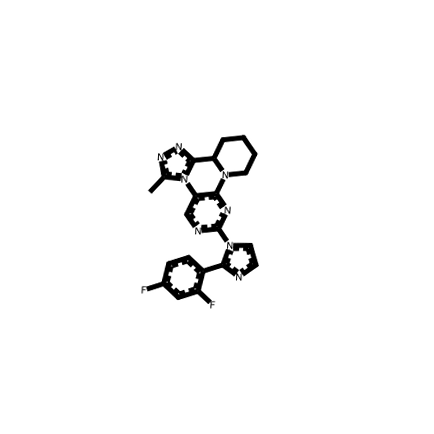 Cc1nnc2n1-c1cnc(-n3ccnc3-c3ccc(F)cc3F)nc1N1CCCCC21